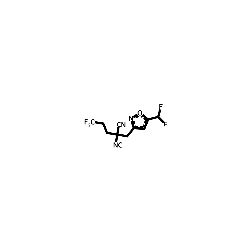 [C-]#[N+]C(C#N)(CCC(F)(F)F)Cc1cc(C(F)F)on1